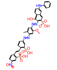 COc1cc(N=Nc2ccc(C=Cc3ccc([N+](=O)[O-])cc3S(=O)(=O)O)c(S(=O)(=O)O)c2)c(C)cc1N=Nc1c(S(=O)(=O)O)cc2cc(Nc3ccccc3)ccc2c1O